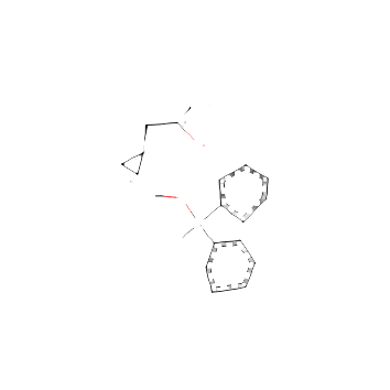 C[C@@H](O)C[C@@H]1C[C@H]1CO[Si](c1ccccc1)(c1ccccc1)C(C)(C)C